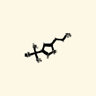 CCCc1cc(C(C)(C)C)n[nH]1